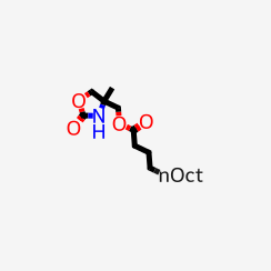 CCCCCCCCCCCC(=O)OCC1(C)COC(=O)N1